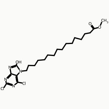 COC(=O)CCCCCCCCCCCCCCCn1c(O)nc2nc(Cl)nc(Cl)c21